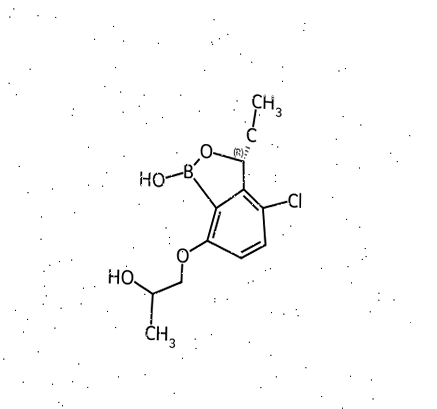 CC[C@H]1OB(O)c2c(OCC(C)O)ccc(Cl)c21